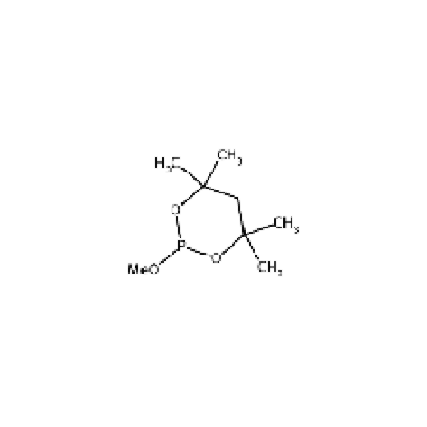 COP1OC(C)(C)CC(C)(C)O1